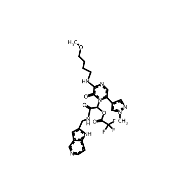 COCCCCNc1ncc(-c2cnn(C)c2)n(C(OC(=O)C(F)(F)F)C(=O)NCc2cc3cnccc3[nH]2)c1=O